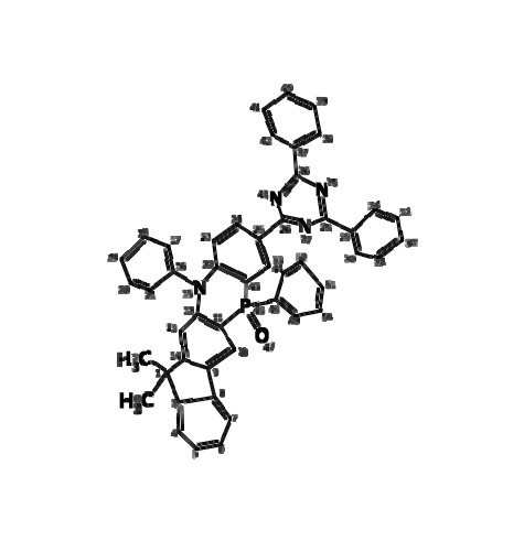 CC1(C)c2ccccc2-c2cc3c(cc21)N(c1ccccc1)c1ccc(-c2nc(-c4ccccc4)nc(-c4ccccc4)n2)cc1P3(=O)c1ccccc1